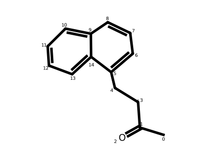 CC(=O)[CH]Cc1cccc2ccccc12